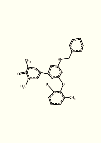 Cc1cccc(F)c1Oc1nc(NCc2ccccc2)cc(-c2cc(C)c(=O)n(C)c2)n1